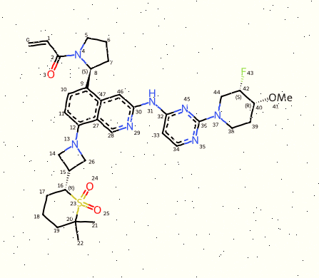 C=CC(=O)N1CCC[C@H]1c1ccc(N2CC([C@H]3CCCC(C)(C)S3(=O)=O)C2)c2cnc(Nc3ccnc(N4CC[C@@H](OC)[C@@H](F)C4)n3)cc12